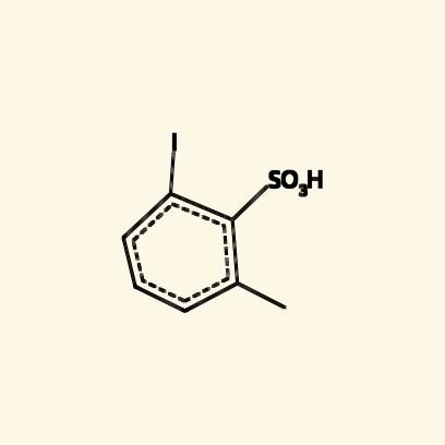 Cc1cccc(I)c1S(=O)(=O)O